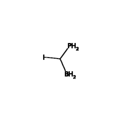 BC(P)I